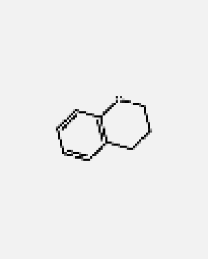 [c]1cccc2c1CCCO2